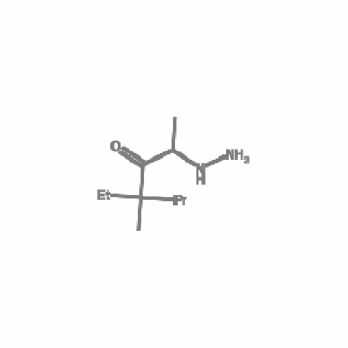 CCC(C)(C(=O)C(C)NN)C(C)C